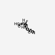 CN1CCC(N(C)C(=O)c2ccc(Nc3ncc(CF)c(N[C@H]4C[C@@H](C(=O)O)C4)n3)cc2)CC1